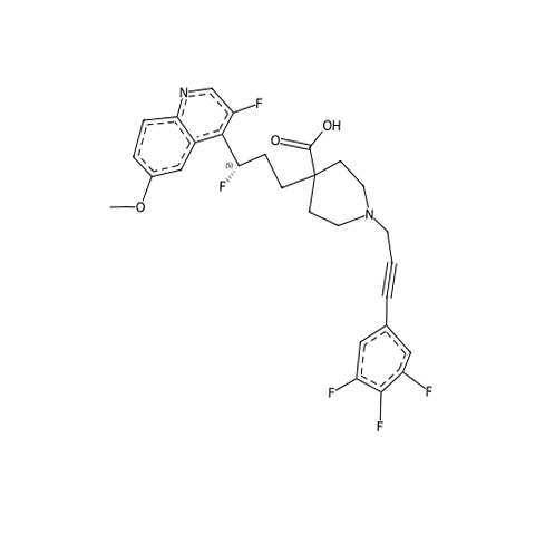 COc1ccc2ncc(F)c([C@@H](F)CCC3(C(=O)O)CCN(CC#Cc4cc(F)c(F)c(F)c4)CC3)c2c1